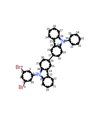 Brc1cc(Br)cc(-n2c3ccccc3c3cc(-c4ccc5c(c4)c4ccccc4n5-c4ccccc4)ccc32)c1